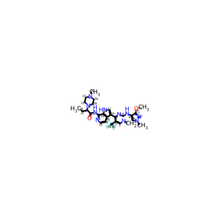 C=N/C=C(\C(=N/CNc1cn(C)nc1OC)c1c[nH]c2c(NC(=O)C(CC)N3CCN(C)CC3)nccc12)C(F)(F)F